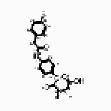 C[C@@H](C(=O)O)N(C)C(=O)Oc1ccc(NC(=O)Cc2ccc(F)cc2)cc1